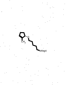 CCCCCCCCCCCCO[C@H]1CCC=C1C